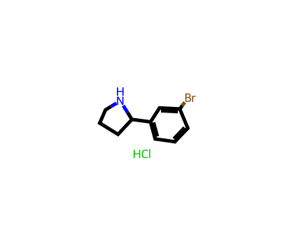 Brc1cccc(C2CCCN2)c1.Cl